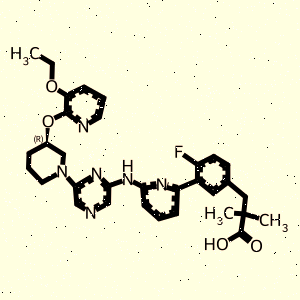 CCOc1cccnc1O[C@@H]1CCCN(c2cncc(Nc3cccc(-c4cc(CC(C)(C)C(=O)O)ccc4F)n3)n2)C1